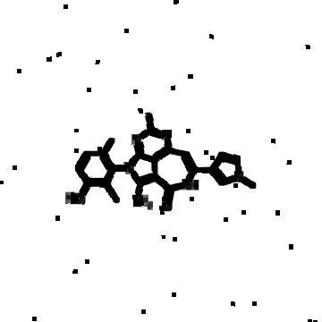 Cc1nc2c3c(c(N)n(-c4c(C)ccc(O)c4C)c3n1)C(=O)NC(c1ccn(C)c1)=C2